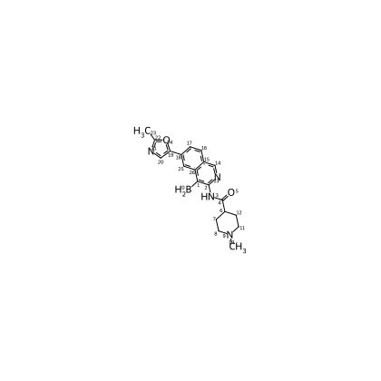 Bc1c(NC(=O)C2CCN(C)CC2)ncc2ccc(-c3cnc(C)o3)cc12